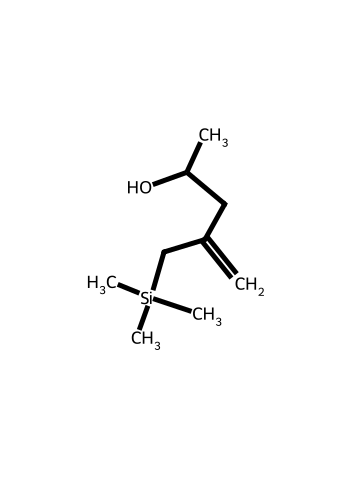 C=C(CC(C)O)C[Si](C)(C)C